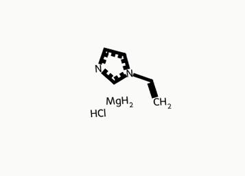 C=Cn1ccnc1.Cl.[MgH2]